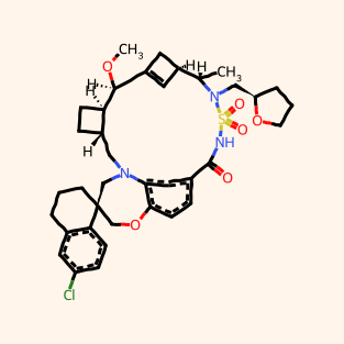 CO[C@H]1C2=C[C@@H](C2)[C@H](C)N(C[C@H]2CCCO2)S(=O)(=O)NC(=O)c2ccc3c(c2)N(C[C@@H]2CC[C@H]21)C[C@@]1(CCCc2cc(Cl)ccc21)CO3